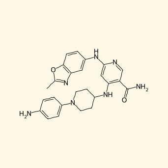 Cc1nc2cc(Nc3cc(NC4CCN(c5ccc(N)cc5)CC4)c(C(N)=O)cn3)ccc2o1